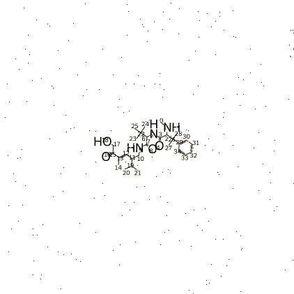 CNC(C(=O)NC(C(=O)NCC(/C=C(\C)C(=O)CO)C(C)C)C(C)(C)C)C(C)(C)c1ccccc1